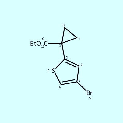 CCOC(=O)C1(c2cc(Br)cs2)CC1